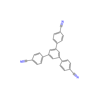 N#Cc1ccc(-c2cc(-c3ccc(C#N)cc3)cc(-c3ccc(C#N)cc3)c2)cc1